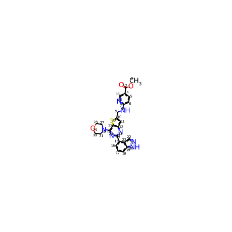 COC(=O)c1ccc(NCc2cc3nc(-c4cccc5[nH]ncc45)nc(N4CCOCC4)c3s2)nc1